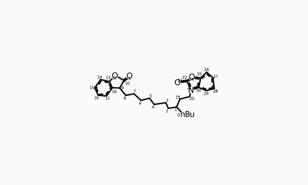 CCCCC(CCCCCCCC1C(=O)Oc2ccccc21)CCn1c(=O)oc2ccccc21